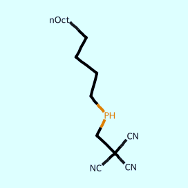 CCCCCCCCCCCCPCC(C#N)(C#N)C#N